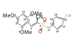 COc1cc(OC)c(C=C(C#N)S(=O)(=O)Cc2ccc(F)cc2)c(OC)c1